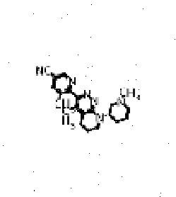 Cc1cc(C#N)cnc1-c1nnc2c(c1C)CCCN2[C@H]1CCCN(C)C1